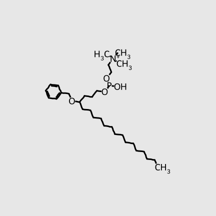 CCCCCCCCCCCCCCCC(CCCOP(O)OCC[N+](C)(C)C)OCc1ccccc1